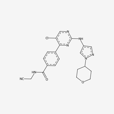 N#CCNC(=O)c1ccc(-c2nc(Nc3cnn(C4CCOCC4)c3)ncc2Cl)cc1